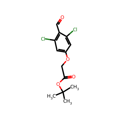 CC(C)(C)OC(=O)COc1cc(Cl)c(C=O)c(Cl)c1